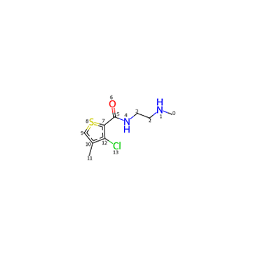 CNCCNC(=O)c1scc(C)c1Cl